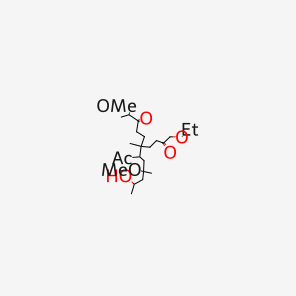 CCOCC(=O)CCC(C)(CCC(=O)C(C)OC)C(CC(C)(CC(C)O)OC)C(C)=O